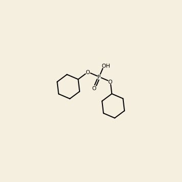 O=P(O)(OC1CCCCC1)OC1CCCCC1